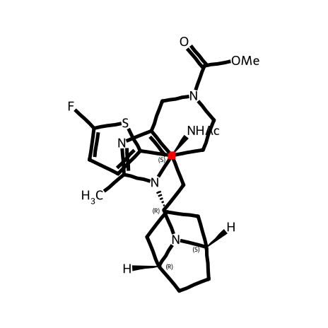 COC(=O)N1CCc2c(nc(C)n2[C@H]2C[C@H]3CC[C@@H](C2)N3CC[C@H](NC(C)=O)c2ccc(F)s2)C1